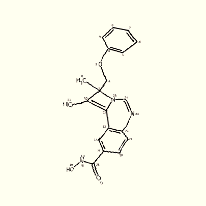 CC1(COc2ccccc2)C(O)=C2c3cc(C(=O)NO)ccc3N=CN21